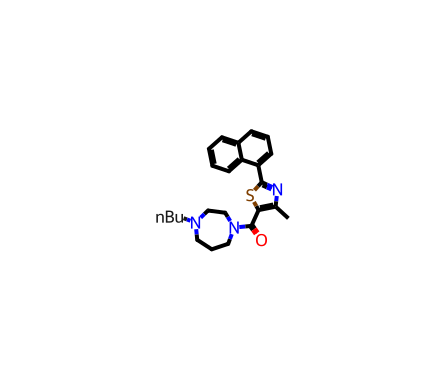 CCCCN1CCCN(C(=O)c2sc(-c3cccc4ccccc34)nc2C)CC1